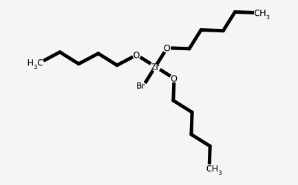 CCCCC[O][Zr]([Br])([O]CCCCC)[O]CCCCC